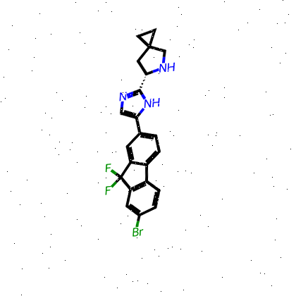 FC1(F)c2cc(Br)ccc2-c2ccc(-c3cnc([C@@H]4CC5(CC5)CN4)[nH]3)cc21